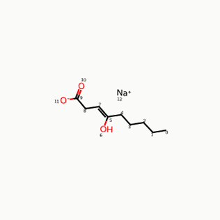 CCCCCC(O)=CCC(=O)[O-].[Na+]